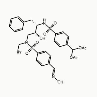 CC(=O)OC(OC(C)=O)c1ccc(S(=O)(=O)N[C@@H](Cc2ccccc2)[C@@H](O)CN(CC(C)C)S(=O)(=O)c2ccc(C=NO)cc2)cc1